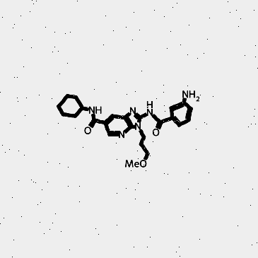 COCCCn1c(NC(=O)c2cccc(N)c2)nc2cc(C(=O)NC3CCCCC3)cnc21